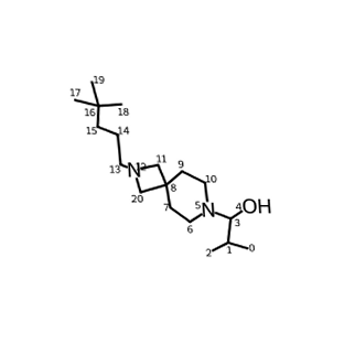 CC(C)C(O)N1CCC2(CC1)CN(CCCC(C)(C)C)C2